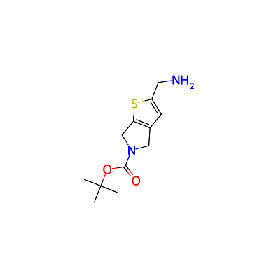 CC(C)(C)OC(=O)N1Cc2cc(CN)sc2C1